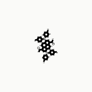 CC(=O)c1cc(N(c2ccc(C)cc2)c2ccc(C)cc2)c2ccc3c(C(C)=O)cc(N(c4ccc(C)cc4)c4ccc(C)cc4)c4ccc1c2c34